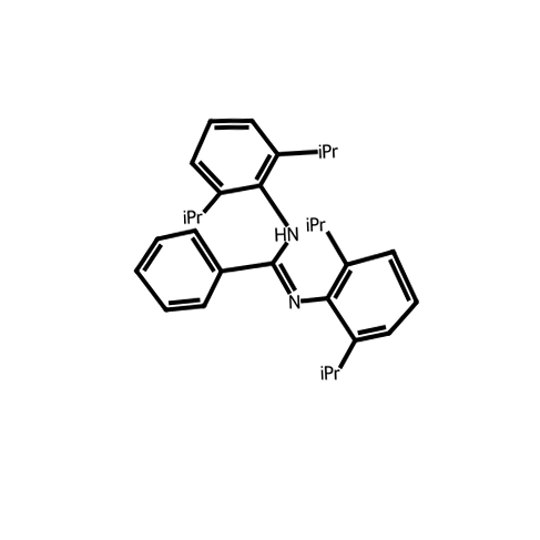 CC(C)c1cccc(C(C)C)c1N=C(Nc1c(C(C)C)cccc1C(C)C)c1ccccc1